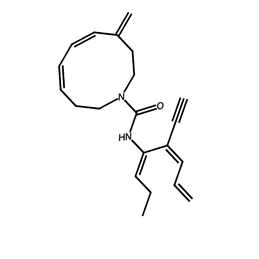 C#CC(=C/C=C)/C(=C\CC)NC(=O)N1CC/C=C\C=C/C(=C)CC1